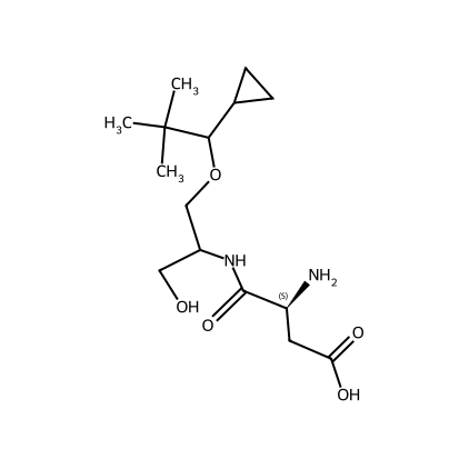 CC(C)(C)C(OCC(CO)NC(=O)[C@@H](N)CC(=O)O)C1CC1